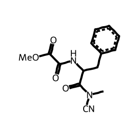 COC(=O)C(=O)NC(Cc1ccccc1)C(=O)N(C)C#N